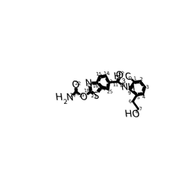 Cc1cccc(CCO)c1NC(=O)c1ccc2nc(OC(N)=O)sc2c1